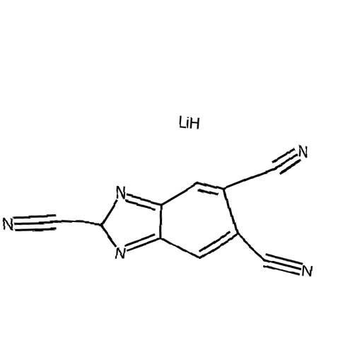 N#Cc1cc2c(cc1C#N)=NC(C#N)N=2.[LiH]